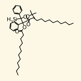 CCCCCCCCCCCC(=O)OC([SiH3])(c1ccccc1)C(COC(C)(C)C)(OC(=O)CCCCCCCCCCC)c1ccccc1